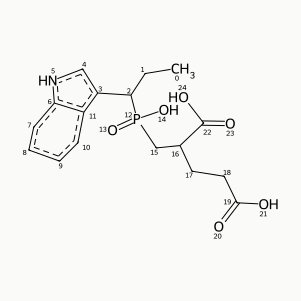 CCC(c1c[nH]c2ccccc12)P(=O)(O)CC(CCC(=O)O)C(=O)O